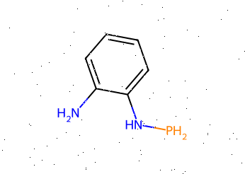 Nc1ccccc1NP